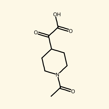 CC(=O)N1CCC(C(=O)C(=O)O)CC1